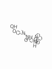 CCN(CCNC(=O)c1ccc(NS(=O)(=O)c2cccc3cccnc23)cc1)Cc1ccc(OCCO)cc1